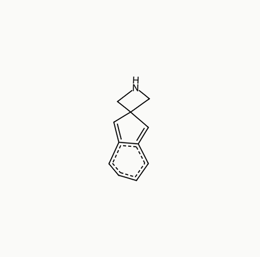 C1=c2ccccc2=CC12CNC2